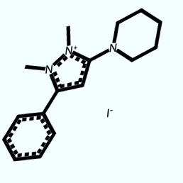 Cn1c(-c2ccccc2)cc(N2CCCCC2)[n+]1C.[I-]